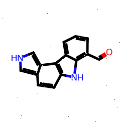 O=Cc1cccc2c1[nH]c1ccc3c[nH]cc3c12